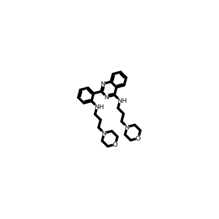 c1ccc(-c2nc(NCCCN3CCOCC3)c3ccccc3n2)c(NCCCN2CCOCC2)c1